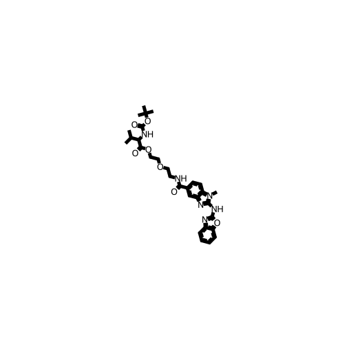 CC(C)C(NC(=O)OC(C)(C)C)C(=O)OCCOCCNC(=O)c1ccc2c(c1)nc(Nc1nc3ccccc3o1)n2C